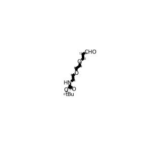 CC(C)(C)OC(=O)NCCOCCOCCC=O